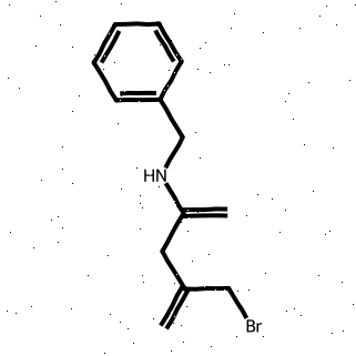 C=C(CBr)CC(=C)NCc1ccccc1